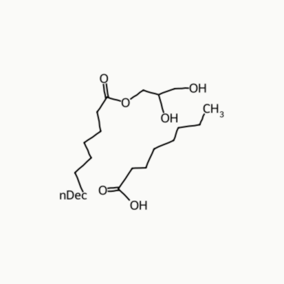 CCCCCCCC(=O)O.CCCCCCCCCCCCCCCC(=O)OCC(O)CO